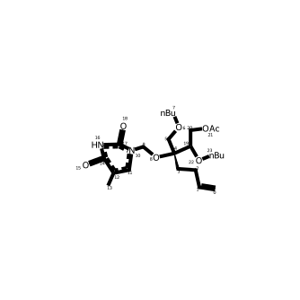 C=CCC[C@](COCCCC)(OCn1cc(C)c(=O)[nH]c1=O)C(COC(C)=O)OCCCC